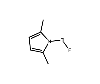 Cc1ccc(C)[n]1[Ti][F]